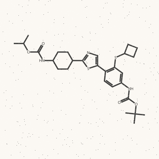 CC(C)OC(=O)NC1CCC(c2ncc(-c3ccc(NC(=O)OC(C)(C)C)cc3SC3CCC3)s2)CC1